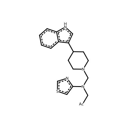 CC(=O)CN(CN1CCC(c2c[nH]c3ccccc23)CC1)c1cscn1